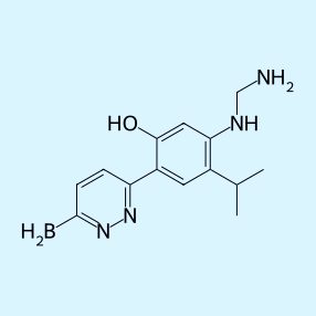 Bc1ccc(-c2cc(C(C)C)c(NCN)cc2O)nn1